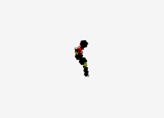 CCCCCCSc1ccc(-c2ccc(S[C@H](C)C(=O)OCc3ccccc3)cc2)cc1